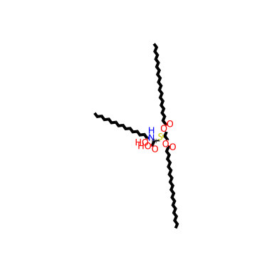 CCCCCCCCCCCCCCCCCCCCCC(=O)OCC(COC(=O)CCCCCCCCCCCCCCCCCCCCC)SC[C@H](NC(O)CCCCCCCCCCCCCCC)C(=O)O